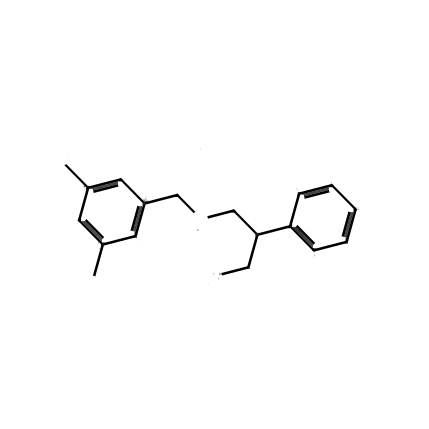 Cc1cc(C)cc(COCC(CN)c2ccccc2)c1.Cl